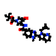 Cn1c(-c2cc3cccnc3n2CC2CC2)nc2cc(C(=O)N[C@@H]3CN(C(=O)OC(C)(C)C)C[C@@H]3O)ccc21